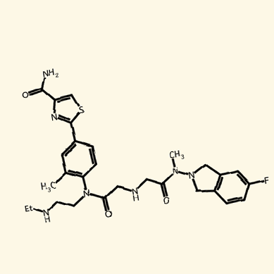 CCNCCN(C(=O)CNCC(=O)N(C)N1Cc2ccc(F)cc2C1)c1ccc(-c2nc(C(N)=O)cs2)cc1C